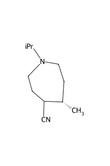 CC(C)N1CCC(C#N)[C@@H](C)CC1